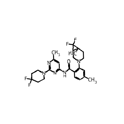 Cc1ccc(C(=O)Nc2cc(C)nc(N3CCC(F)(F)CC3)n2)c(N2CCC3(C)C(C2)C3(F)F)c1